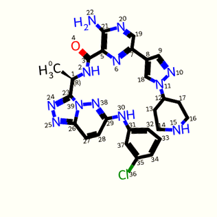 C[C@@H](NC(=O)c1nc(-c2cnn(C3CCNCC3)c2)cnc1N)c1nnc2ccc(Nc3cccc(Cl)c3)nn12